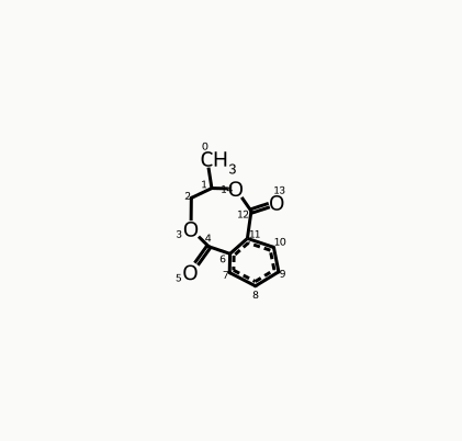 CC1COC(=O)c2ccccc2C(=O)O1